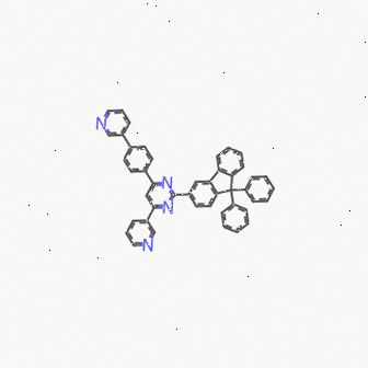 c1ccc(C2(c3ccccc3)c3ccccc3-c3cc(-c4nc(-c5ccc(-c6cccnc6)cc5)cc(-c5cccnc5)n4)ccc32)cc1